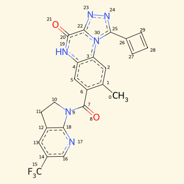 Cc1cc2c(cc1C(=O)N1CCc3cc(C(F)(F)F)cnc31)[nH]c(=O)c1nnc(C3=CC=C3)n12